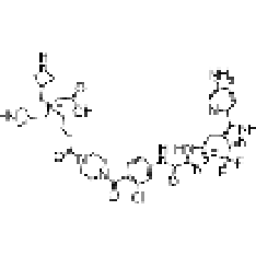 Nc1ccc(-c2[nH]nc(C(F)(F)F)c2Cc2cnc(C(=O)Nc3ccc(C(=O)N4CCN(C(=O)CCC[N+](CC(=O)O)(CC5CNC5)CC5CNC5)CC4)c(Cl)c3)[nH]2)nc1